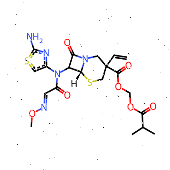 C=CC1(C(=O)OCOC(=O)C(C)C)CS[C@@H]2C(N(C(=O)C=NOC)c3csc(N)n3)C(=O)N2C1